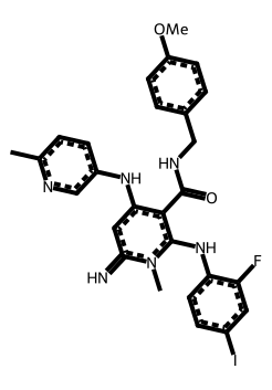 COc1ccc(CNC(=O)c2c(Nc3ccc(C)nc3)cc(=N)n(C)c2Nc2ccc(I)cc2F)cc1